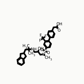 CN(CC(O)CNC(C)(C)CC1Cc2ccccc2C1)S(=O)(=O)c1ccc(-c2ccc(CC(=O)O)cc2)c(C(F)(F)F)c1